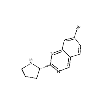 Brc1ccc2cnc([C@@H]3CCCN3)nc2c1